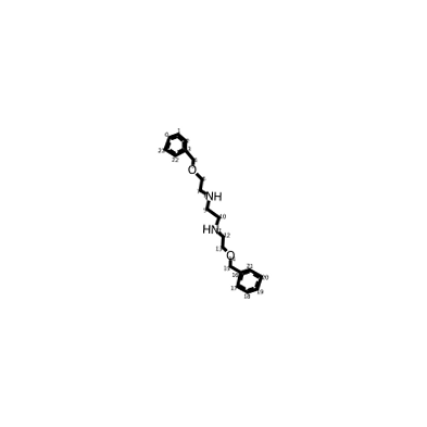 c1ccc(COCCNCCNCCOCc2ccccc2)cc1